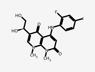 Cn1cc([C@@H](O)CO)c(=O)c2c(Nc3ccc(I)cc3F)cc(=O)n(C)c21